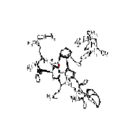 COc1cccc(OC)c1-c1cc(C(=O)NC2(C(=O)O)C3CC4CC(C3)CC2C4)nn1-c1ccc(C(=O)N(C)CCCN(C)C)cc1C(C)C.C[N+](C)(C)CCO